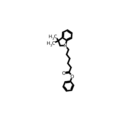 CC1(C)CN(CCCCCC(=O)Oc2ccccc2)c2ccccc21